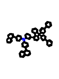 c1ccc(-c2ccc(C3(c4ccc(-c5ccccc5)cc4)c4ccccc4-c4c(-c5cccc(N(c6ccc(-c7cccc8ccccc78)cc6)c6ccc(-c7cccc8ccccc78)cc6)c5)cccc43)cc2)cc1